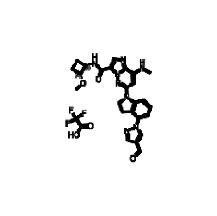 CNc1cc(N2CCc3c2cccc3-n2cc(C=O)cn2)nn2c(C(=O)N[C@@H]3CC[C@H]3OC)cnc12.O=C(O)C(F)(F)F